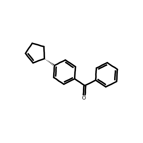 O=C(c1ccccc1)c1ccc([C@@H]2C=CCC2)cc1